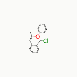 CC(=Cc1ccccc1CCl)Oc1ccccc1